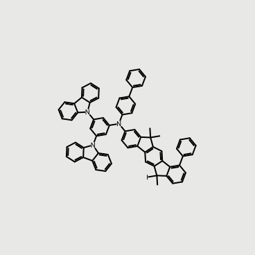 CC1(C)c2cc(N(c3ccc(-c4ccccc4)cc3)c3cc(-n4c5ccccc5c5ccccc54)cc(-n4c5ccccc5c5ccccc54)c3)ccc2-c2cc3c(cc21)-c1c(-c2ccccc2)cccc1C3(C)I